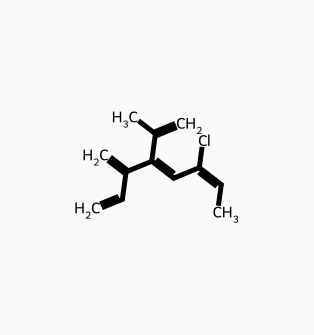 C=CC(=C)/C(=C/C(Cl)=C\C)C(=C)C